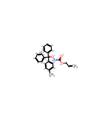 C=CCOC(=O)NOC(c1ccccc1)(c1ccc(C)cc1)c1ccccc1Cl